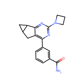 NC(=O)c1cccc(-c2nc(N3CCC3)nc3c2CC2CC32)c1